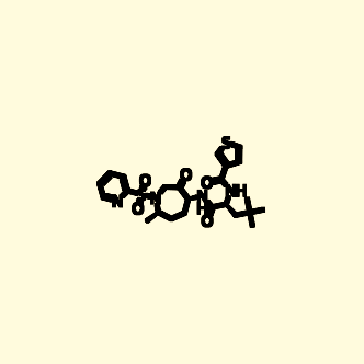 C[C@@H]1CC[C@H](NC(=O)[C@H](CC(C)(C)C)NC(=O)c2ccsc2)C(=O)CN1S(=O)(=O)c1ccccn1